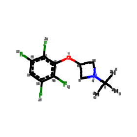 [2H]C([2H])([2H])N1CC(Oc2c(F)c(F)cc(F)c2F)C1